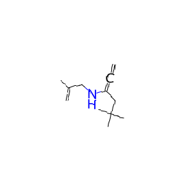 C=C=C(CC(C)(C)C)NCC(=C)C